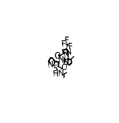 Cc1cccnc1-n1nc(C(F)(F)F)cc1C(=O)Nc1c(C(=O)NC(C)C)sc2ncccc12